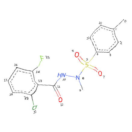 Cc1ccc(S(=O)(=O)N(C)NC(=O)c2c(F)cccc2Cl)cc1